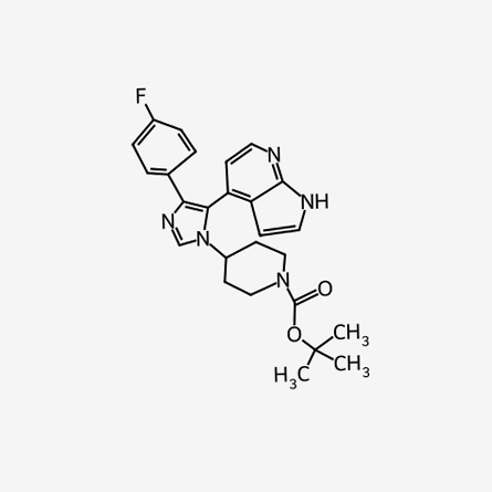 CC(C)(C)OC(=O)N1CCC(n2cnc(-c3ccc(F)cc3)c2-c2ccnc3[nH]ccc23)CC1